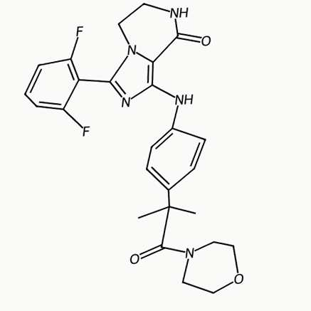 CC(C)(C(=O)N1CCOCC1)c1ccc(Nc2nc(-c3c(F)cccc3F)n3c2C(=O)NCC3)cc1